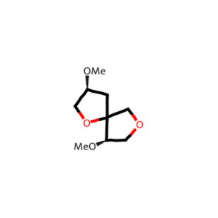 CO[C@@H]1COC2(COC[C@H]2OC)C1